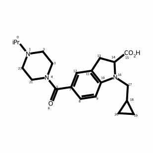 CC(C)N1CCN(C(=O)c2ccc3c(c2)CC(C(=O)O)N3CC2CC2)CC1